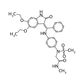 CCOc1cc2c(cc1OCC)C(=C(Nc1ccc(N(CC(=O)NC)S(C)(=O)=O)cc1)c1ccccc1)C(=O)N2